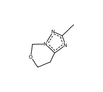 Cc1nc2n(n1)COCC2